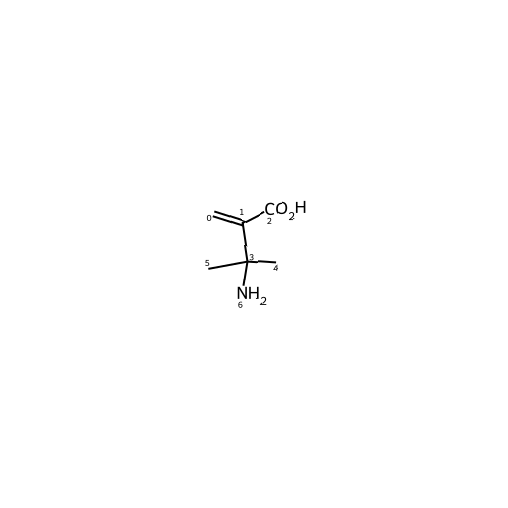 C=C(C(=O)O)C(C)(C)N